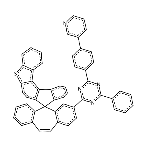 C1=Cc2ccc(-c3nc(-c4ccccc4)nc(-c4ccc(-c5cccnc5)cc4)n3)cc2C2(c3ccccc31)c1ccccc1-c1c2ccc2sc3ccccc3c12